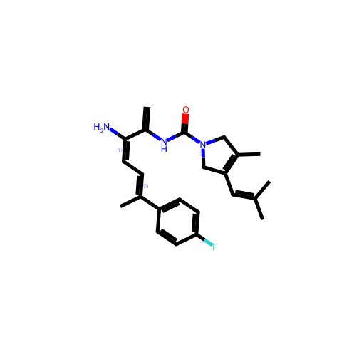 C=C(NC(=O)N1CC(C)=C(C=C(C)C)C1)/C(N)=C\C=C(/C)c1ccc(F)cc1